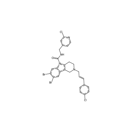 O=C(NCc1ccnc(Cl)c1)n1c2c(c3cc(Br)c(Br)cc31)CN(CC=Cc1ccc(Cl)cc1)CC2